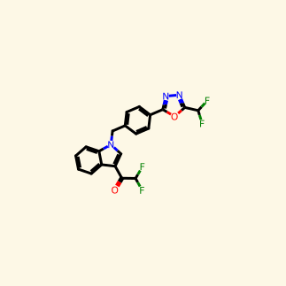 O=C(c1cn(Cc2ccc(-c3nnc(C(F)F)o3)cc2)c2ccccc12)C(F)F